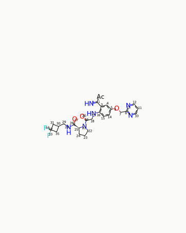 CC(=O)C(=N)c1cc(OCc2ncccn2)ccc1NCC(=O)N1CCC[C@H]1C(=O)NCC1CC(F)(F)C1